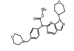 CC(C)(C)OC(=O)N(c1ccc(CN2CCOCC2)cc1)c1ncc2cnn(C3CCOCC3)c2n1